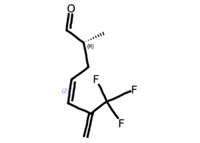 C=C(/C=C\C[C@@H](C)C=O)C(F)(F)F